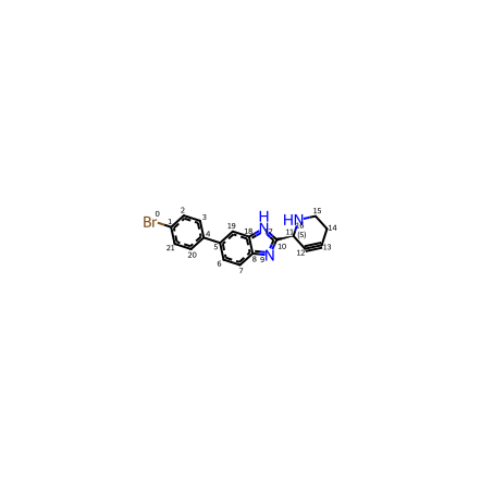 Brc1ccc(-c2ccc3nc([C@@H]4C#CCCN4)[nH]c3c2)cc1